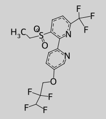 CCS(=O)(=O)c1ccc(C(F)(F)F)nc1-c1ccc(OCC(F)(F)C(F)F)cn1